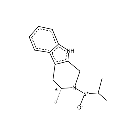 CC(C)[S+]([O-])N1Cc2[nH]c3ccccc3c2C[C@H]1C